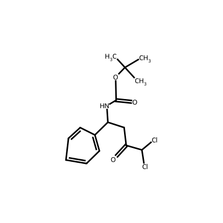 CC(C)(C)OC(=O)NC(CC(=O)C(Cl)Cl)c1ccccc1